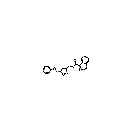 O=C(NCC1=NOC(COc2ccccc2)C1)c1nccc2ccccc12